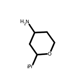 CC(C)C1CC(N)CCO1